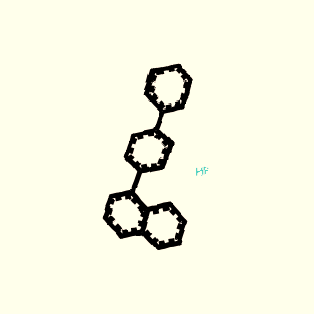 F.c1ccc(-c2ccc(-c3cccc4ccccc34)cc2)cc1